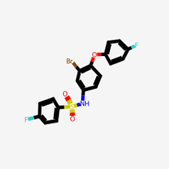 O=S(=O)(Nc1ccc(Oc2ccc(F)cc2)c(Br)c1)c1ccc(F)cc1